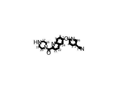 N#Cc1ccc(Oc2ccc3nc(C(=O)N4CCNCC4)ccc3c2)nc1